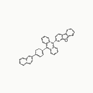 C1=C(c2ccc3ccccc3c2)CCC(c2c3ccccc3c(-c3ccc4c(c3)oc3ccccc34)c3ccccc23)=C1